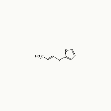 O=C(O)C=CSc1cccs1